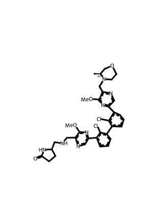 COc1nc(-c2cccc(-c3cccc(-c4cnc(CN5CCOC[C@@H]5C)c(OC)n4)c3Cl)c2Cl)cnc1CNCC1CCC(=O)N1